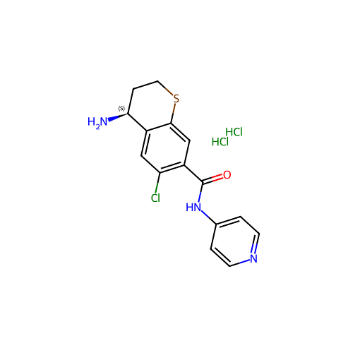 Cl.Cl.N[C@H]1CCSc2cc(C(=O)Nc3ccncc3)c(Cl)cc21